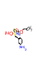 CCOC(=O)N=[SH](C)(O)Cc1cccc(N)c1